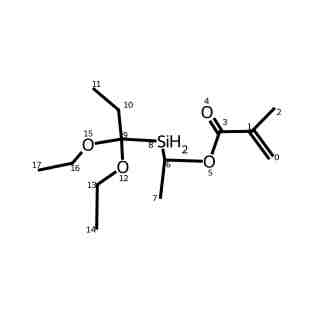 C=C(C)C(=O)OC(C)[SiH2]C(CC)(OCC)OCC